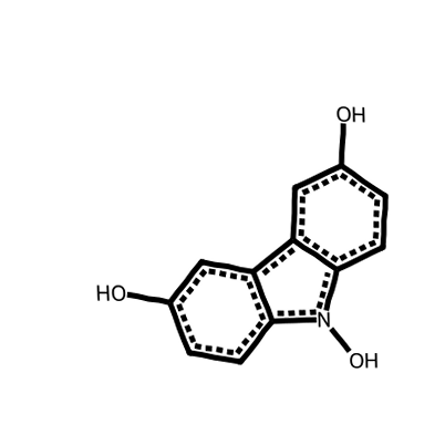 Oc1ccc2c(c1)c1cc(O)ccc1n2O